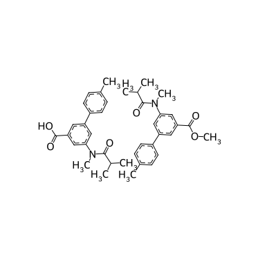 COC(=O)c1cc(-c2ccc(C)cc2)cc(N(C)C(=O)C(C)C)c1.Cc1ccc(-c2cc(C(=O)O)cc(N(C)C(=O)C(C)C)c2)cc1